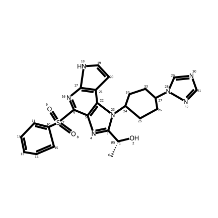 C[C@@H](O)c1nc2c(S(=O)(=O)c3ccccc3)nc3[nH]ccc3c2n1C1CCC(n2cncn2)CC1